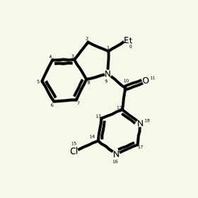 CCC1Cc2ccccc2N1C(=O)c1cc(Cl)ncn1